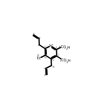 C=CCc1nc(C(=O)O)c(C(=O)O)c(CC=C)c1CC